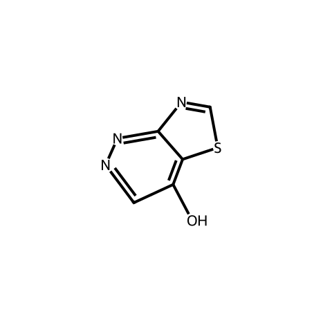 Oc1cnnc2ncsc12